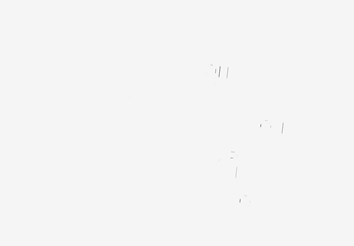 CCCC(O)C[PH](=O)O